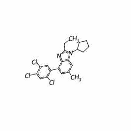 CCc1nc2c(-c3cc(Cl)c(Cl)cc3Cl)cc(C)cc2n1C1CCCC1